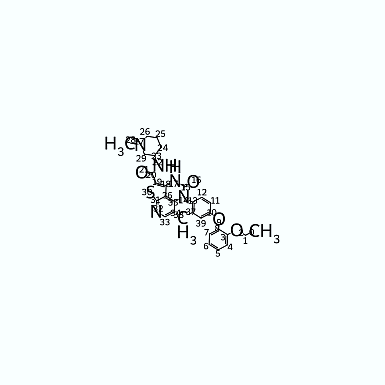 CCOc1ccccc1Oc1ccc(N2C(=O)Nc3c(C(=O)NC4CCCN(C)C4)sc4nccc2c34)c(C)c1